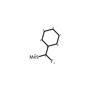 CSC(F)C1CCCCC1